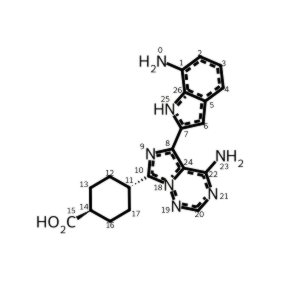 Nc1cccc2cc(-c3nc([C@H]4CC[C@H](C(=O)O)CC4)n4ncnc(N)c34)[nH]c12